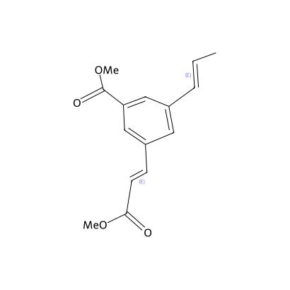 C/C=C/c1cc(/C=C/C(=O)OC)cc(C(=O)OC)c1